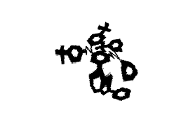 CC(C)(C)c1ccc(N(c2ccc(C(C)(C)C)cc2)c2cc(C3=CCCC4=C3C=C(c3ccccc3)C4)cc(N(c3ccccc3)c3ccccc3C(C)(C)C)c2)cc1